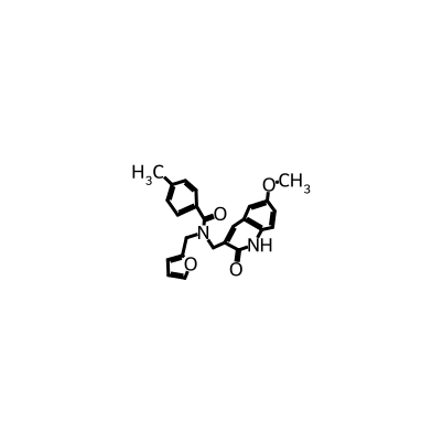 COc1ccc2[nH]c(=O)c(CN(Cc3ccco3)C(=O)c3ccc(C)cc3)cc2c1